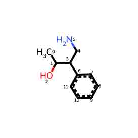 CC(O)C(CN)c1ccccc1